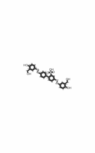 O=S(=O)(O)c1cc(N=Nc2ccc(O)c(CO)c2)ccc1-c1ccc(N=Nc2ccc(O)c(CO)c2)cc1